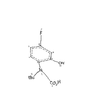 CC(C)(C)N(C(=O)O)c1ccc(F)cc1O